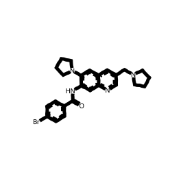 O=C(Nc1cc2ncc(CN3CCCC3)cc2cc1N1CCCC1)c1ccc(Br)cc1